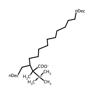 CCCCCCCCCCCCCCCCCCCCC(CCCCCCCCCCC)C(C)(C(=O)[O-])[N+](C)(C)C